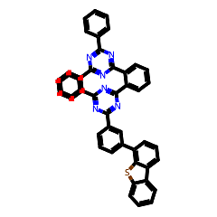 c1ccc(-c2nc(-c3ccccc3)nc(-c3ccccc3-c3nc(-c4ccccc4)nc(-c4cccc(-c5cccc6c5sc5ccccc56)c4)n3)n2)cc1